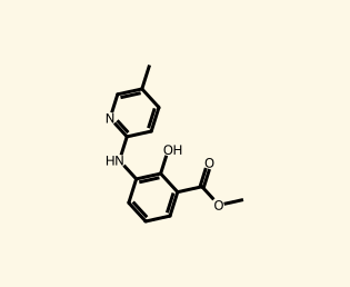 COC(=O)c1cccc(Nc2ccc(C)cn2)c1O